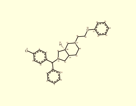 Clc1ccc(C(c2ccccn2)N2CC3CCN(CCOc4ccccc4)C[C@@H]3C2)cc1